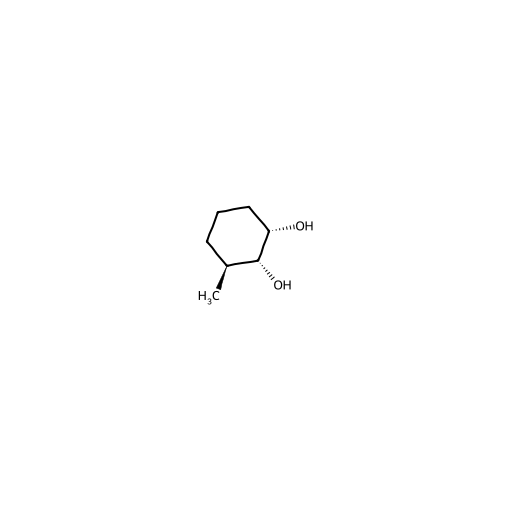 C[C@H]1CCC[C@H](O)[C@@H]1O